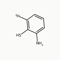 [2H]c1cccc(N)c1S